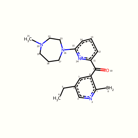 Bc1ncc(CC)cc1C(=O)c1cccc(N2CCCN(C)CC2)n1